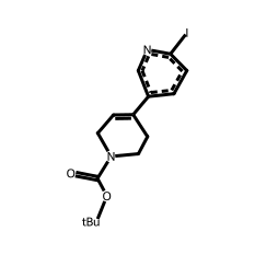 CC(C)(C)OC(=O)N1CC=C(c2ccc(I)nc2)CC1